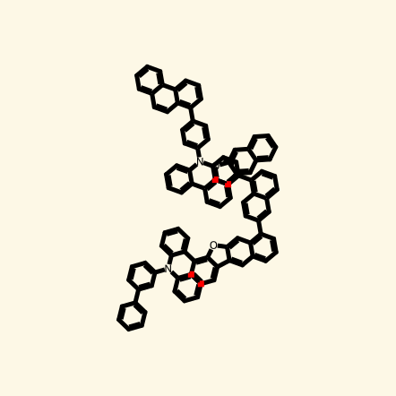 c1ccc(-c2cccc(N(c3ccccc3)c3ccccc3-c3cccc4c3oc3cc5c(-c6ccc7c(-c8ccc(N(c9ccc(-c%10cccc%11c%10ccc%10ccccc%10%11)cc9)c9ccccc9-c9cccc%10c9oc9cc%11ccccc%11cc9%10)cc8)cccc7c6)cccc5cc34)c2)cc1